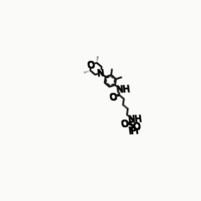 Cc1c(NC(=O)CCCCNS(=O)(=O)C(C)C)ccc(N2C[C@@H](C)O[C@@H](C)C2)c1C